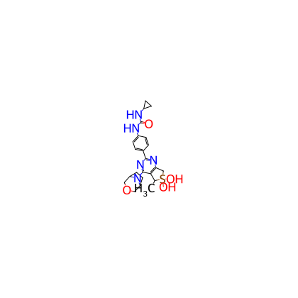 CC1c2c(nc(-c3ccc(NC(=O)NC4CC4)cc3)nc2N2C3CCC2COC3)CS1(O)O